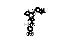 Cc1cc2cc(NC(=O)c3ccccc3-n3c(C)cc(C(=O)Nc4ccc(S(C)(=O)=O)cc4)c3C)ccc2[nH]1